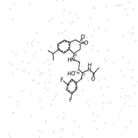 CC(=O)N[C@@H](Cc1cc(F)cc(F)c1)[C@H](O)CN[C@@H]1CS(=O)(=O)Cc2ccc(C(C)C)cc21